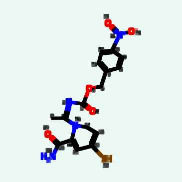 CC(=NC(=O)OCc1ccc([N+](=O)[O-])cc1)N1CC=C(S)C=C1C(N)=O